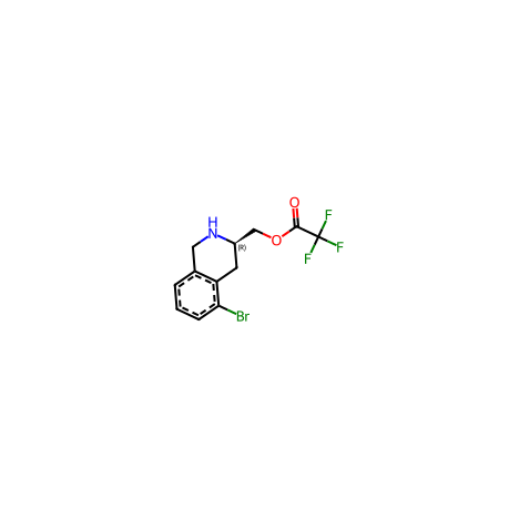 O=C(OC[C@H]1Cc2c(Br)cccc2CN1)C(F)(F)F